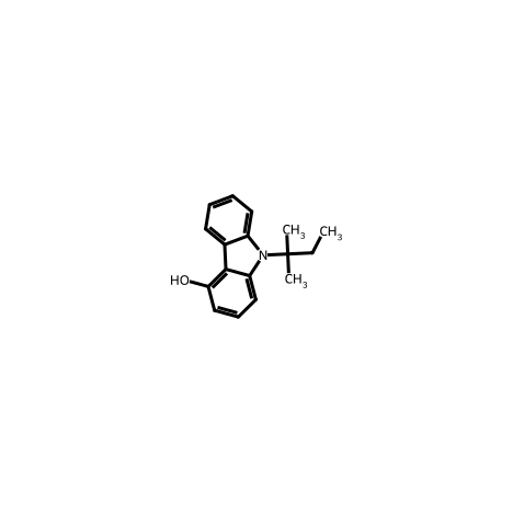 CCC(C)(C)n1c2ccccc2c2c(O)cccc21